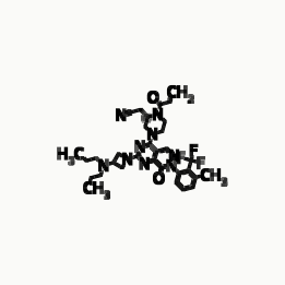 C=CC(=O)N1CCN(c2nc(N3CC(N(CCC)CCC)C3)nc3c(=O)n(-c4cccc(C)c4C(F)(F)F)ncc23)C[C@H]1CC#N